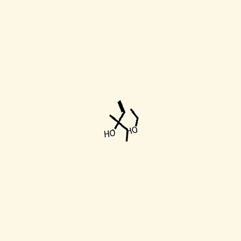 C=CC(C)(O)CC.CCO